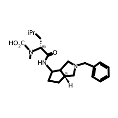 CC(C)C[C@H](C(=O)NC1CC[C@H]2CN(Cc3ccccc3)CC12)N(C)C(=O)O